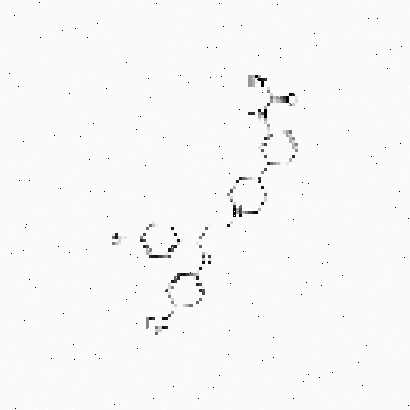 CC(C)C(=O)Nc1cccc(C2CCN(CCC(Oc3ccc(C(F)(F)F)cc3)c3ccc(Br)cc3)CC2)c1